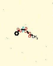 C=CC(=O)OCCOC(=O)C(F)(F)COC(=O)C1CCCCC1